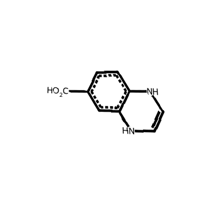 O=C(O)c1ccc2c(c1)NC=CN2